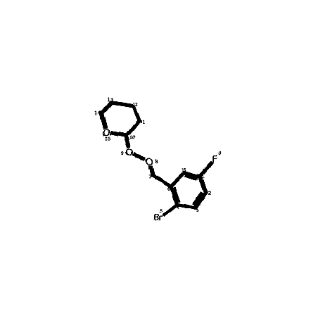 Fc1ccc(Br)c(COOC2CCCCO2)c1